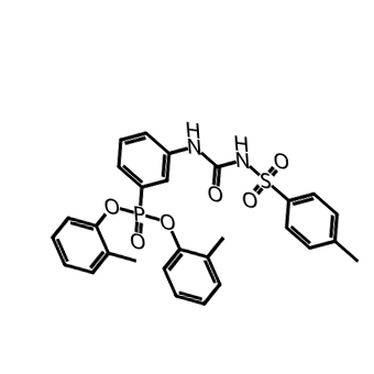 Cc1ccc(S(=O)(=O)NC(=O)Nc2cccc(P(=O)(Oc3ccccc3C)Oc3ccccc3C)c2)cc1